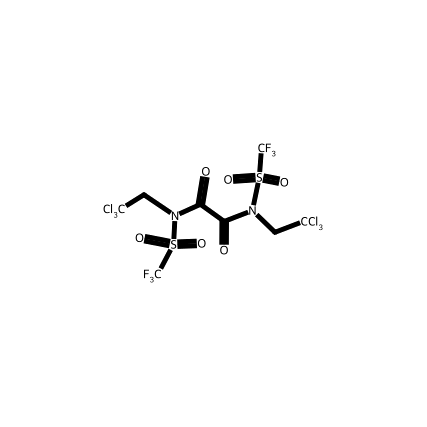 O=C(C(=O)N(CC(Cl)(Cl)Cl)S(=O)(=O)C(F)(F)F)N(CC(Cl)(Cl)Cl)S(=O)(=O)C(F)(F)F